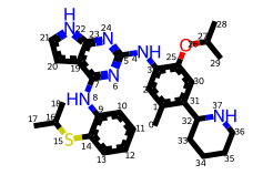 Cc1cc(Nc2nc(Nc3ccccc3SC(C)C)c3cc[nH]c3n2)c(OC(C)C)cc1C1CCCCN1